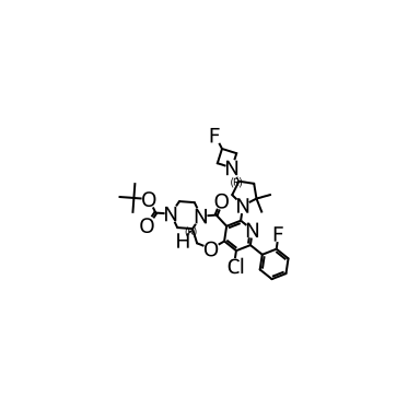 CC(C)(C)OC(=O)N1CCN2C(=O)c3c(N4C[C@H](N5CC(F)C5)CC4(C)C)nc(-c4ccccc4F)c(Cl)c3OC[C@H]2C1